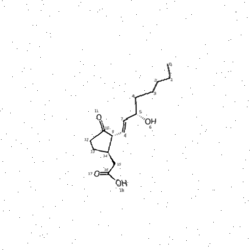 CCCCC[C@H](O)C=C[C@H]1C(=O)CC[C@@H]1CC(=O)O